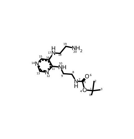 CC(C)(C)OC(=O)NCCNc1ncncc1NCCN